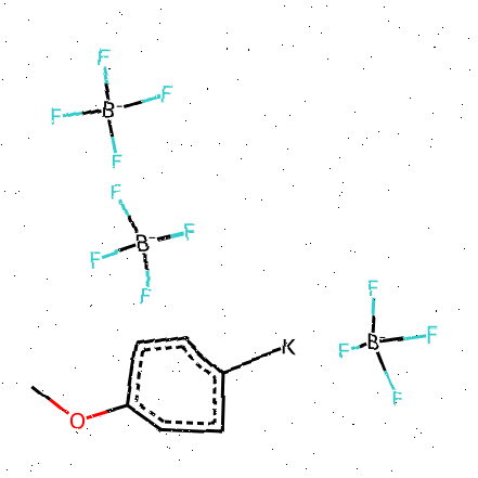 COc1cc[c]([K])cc1.F[B-](F)(F)F.F[B-](F)(F)F.F[B-](F)(F)F